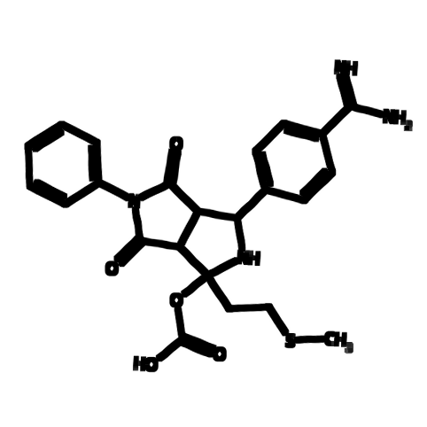 CSCCC1(OC(=O)O)NC(c2ccc(C(=N)N)cc2)C2C(=O)N(c3ccccc3)C(=O)C21